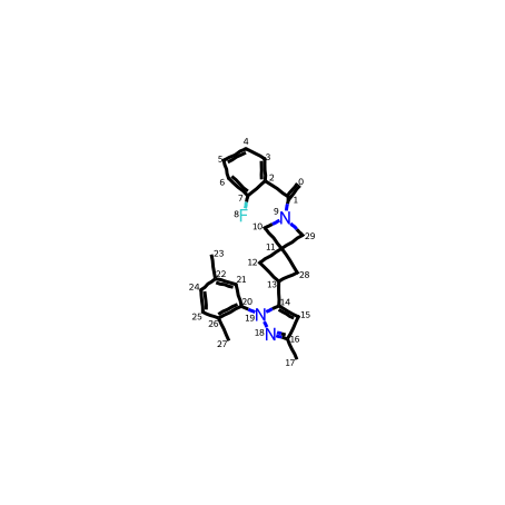 C=C(c1ccccc1F)N1CC2(CC(c3cc(C)nn3-c3cc(C)ccc3C)C2)C1